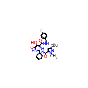 Cn1nc(C(C)(C)C)cc1C(=O)NC1(c2nc(C(=O)NCc3ccc(F)cc3)c(O)c(=O)[nH]2)CC=CCC1